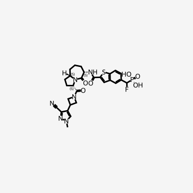 Cn1cc(C2CN(C(=O)[C@@H]3CC[C@@H]4CCC[C@H](NC(=O)c5cc6cc(C(F)P(=O)(O)O)ccc6s5)C(=O)N43)C2)c(C#N)n1